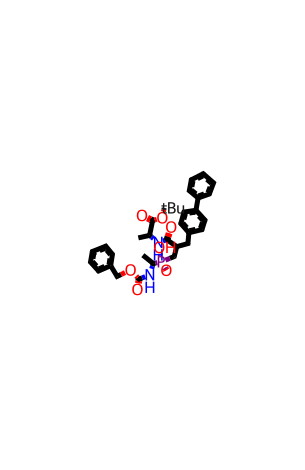 CC(NC(=O)C(Cc1ccc(-c2ccccc2)cc1)CP(=O)(O)C(C)NC(=O)OCc1ccccc1)C(=O)OC(C)(C)C